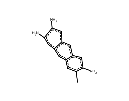 Cc1cc2cc3cc(N)c(N)cc3cc2cc1N